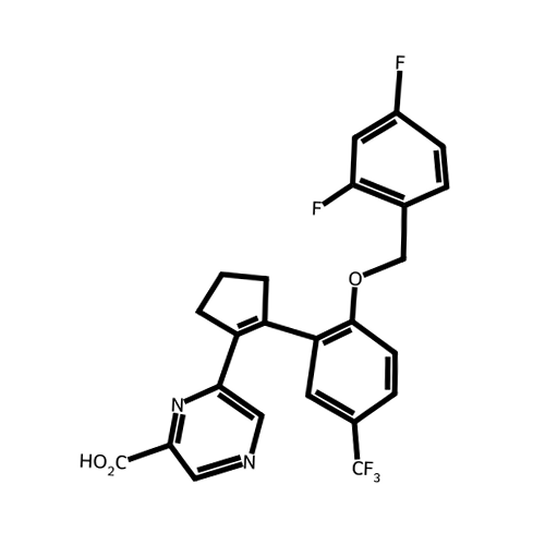 O=C(O)c1cncc(C2=C(c3cc(C(F)(F)F)ccc3OCc3ccc(F)cc3F)CCC2)n1